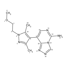 COCCn1nc(C)c(-c2cnc(N)n3cnnc23)c1C